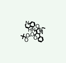 CCn1nc(-c2ccccc2)c(C(=O)OCOC(=O)C(C)(C)C)c(Nc2cccc3ncccc23)c1=O